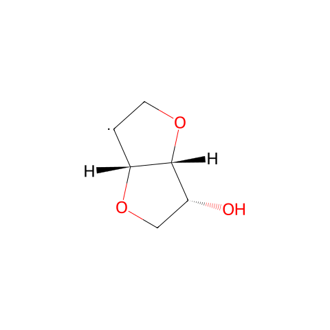 O[C@@H]1CO[C@@H]2[CH]CO[C@H]12